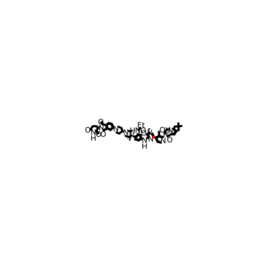 CCC(=O)Nc1cc(Nc2nc(-c3ccnc(N4CCn5c(cc6c5CC(C)(C)C6)C4=O)c3CO)cn(C)c2=O)ccc1N1CCN(C2CCN(c3ccc4c(c3)C(=O)N([C@H]3CCC(=O)NC3=O)C4=O)CC2)C[C@@H]1C